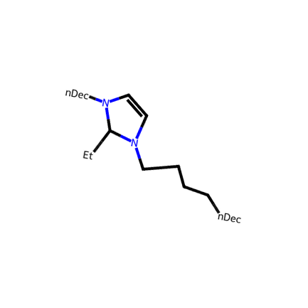 CCCCCCCCCCCCCCN1C=CN(CCCCCCCCCC)C1CC